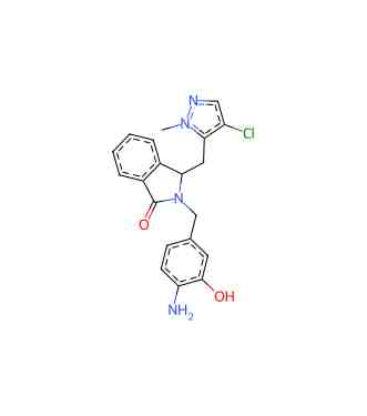 Cn1ncc(Cl)c1CC1c2ccccc2C(=O)N1Cc1ccc(N)c(O)c1